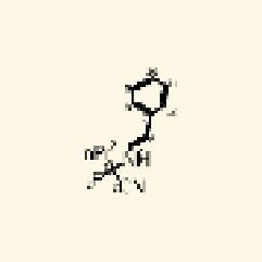 CCCC(F)(C#N)NC=Cc1ccccc1